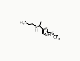 CC(NCCN)c1c[nH]c(SC(F)(F)F)n1